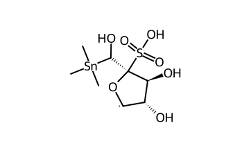 [CH3][Sn]([CH3])([CH3])[CH](O)[C@@]1(S(=O)(=O)O)O[CH][C@@H](O)[C@@H]1O